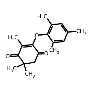 CC1=C(Oc2c(C)cc(C)cc2C)C(=O)CC(C)(C)C1=O